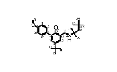 COc1ccc(-c2cc(C(C)(C)C)cc(CNC(C)(C)CC(C)(C)C)c2O)cc1